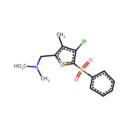 Cc1c(CN(C)C(=O)O)sc(S(=O)(=O)c2ccccc2)c1Br